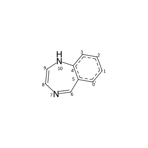 [c]1cccc2c1C=NC=CN2